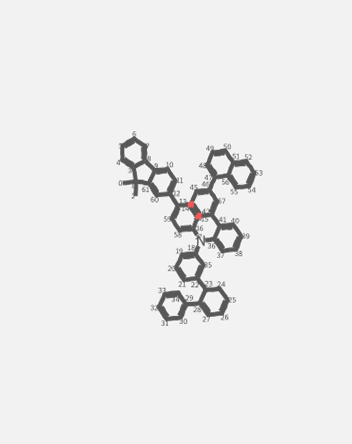 CC1(C)c2ccccc2-c2ccc(-c3ccc(N(c4cccc(C5CC=CC=C5c5ccccc5)c4)c4ccccc4-c4cccc(-c5cccc6ccccc56)c4)cc3)cc21